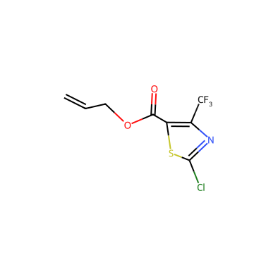 C=CCOC(=O)c1sc(Cl)nc1C(F)(F)F